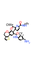 CCCNC(=O)c1ccc(-c2cc3c(cc2C(=O)Nc2ccc(CN)cc2C(F)(F)F)-c2sccc2CCO3)c(C(=O)OC)n1